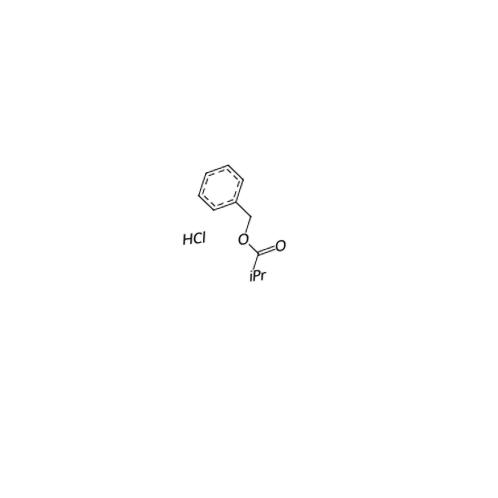 CC(C)C(=O)OCc1ccccc1.Cl